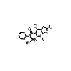 CC(C)c1nc2c(c(=O)c3cc(Cl)sc3n2C)c(=O)n1-c1ccccc1